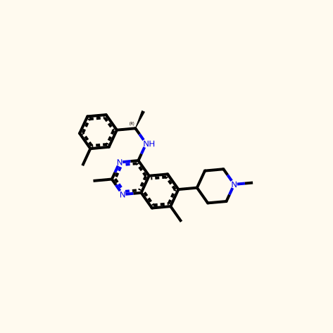 Cc1cccc([C@@H](C)Nc2nc(C)nc3cc(C)c(C4CCN(C)CC4)cc23)c1